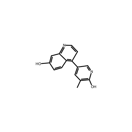 Cc1cc(-c2ccnc3cc(O)ccc23)cnc1O